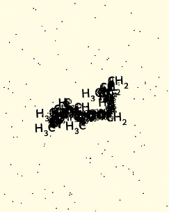 C=CCCC(C(=C)NC)c1c(F)cc(N2CCC(C(=C)N3CCN(C4CCN(c5cc(CC)c(Nc6ncc(SF)c(Nc7ccc8nc(C)ccc8c7N(C)C)n6)cc5CC)CC4)CC3)C2)cc1F